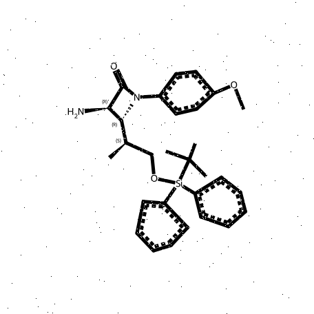 COc1ccc(N2C(=O)[C@H](N)[C@H]2[C@H](C)CO[Si](c2ccccc2)(c2ccccc2)C(C)(C)C)cc1